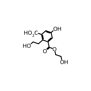 O=C(O)c1cc(O)cc(C(=O)OCCO)c1CCO